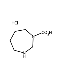 Cl.O=C(O)N1CCCCNC1